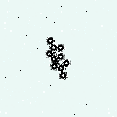 c1ccc(-c2cc(-c3ccccc3)cc(-c3cccc4c3oc3c(-c5ccccc5)c5oc6c(-c7cc(-c8ccccc8)cc(-c8ccccc8)c7)cccc6c5cc34)c2)cc1